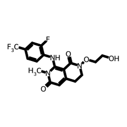 Cn1c(Nc2ccc(C(F)(F)F)cc2F)c2c(cc1=O)CCN(OCCO)C2=O